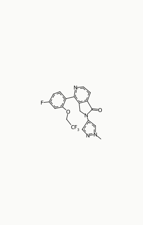 Cn1cc(N2Cc3c(ccnc3-c3ccc(F)cc3OCC(F)(F)F)C2=O)cn1